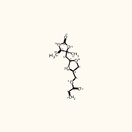 C=CC(=O)OCC1COC(CC2(C)OC(=O)OC2=C)O1